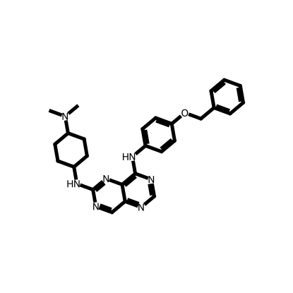 CN(C)C1CCC(Nc2ncc3ncnc(Nc4ccc(OCc5ccccc5)cc4)c3n2)CC1